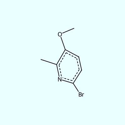 COc1ccc(Br)nc1C